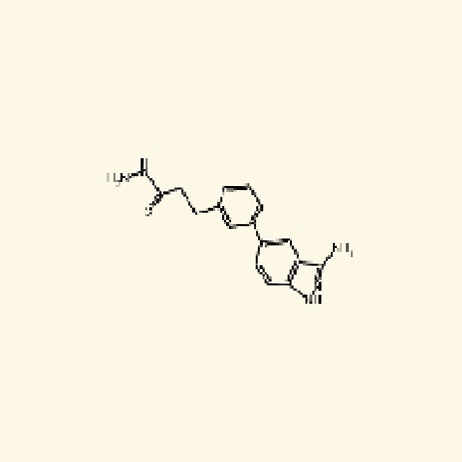 NNC(=O)CCc1cccc(-c2ccc3[nH]nc(N)c3c2)c1